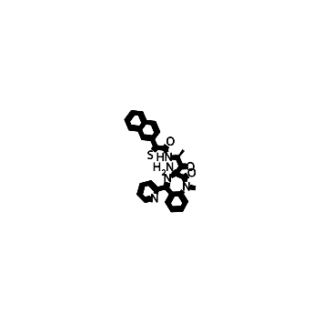 C[C@H](NC(=O)C(=S)c1ccc2ccccc2c1)C(=O)C1(N)N=C(c2ccccn2)c2ccccc2N(C)C1=O